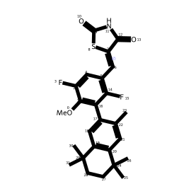 COc1c(F)cc(/C=C2\SC(=O)NC2=O)c(F)c1-c1cc2c(cc1C)C(C)(C)CCC2(C)C